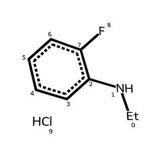 CCNc1ccccc1F.Cl